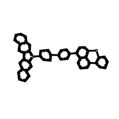 c1ccc2c(c1)Oc1ccc(-c3ccc(-c4ccc(-n5c6cc7ccccc7cc6c6cc7ccccc7cc65)cc4)cc3)c3cccc-2c13